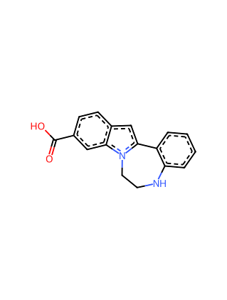 O=C(O)c1ccc2cc3n(c2c1)CCNc1ccccc1-3